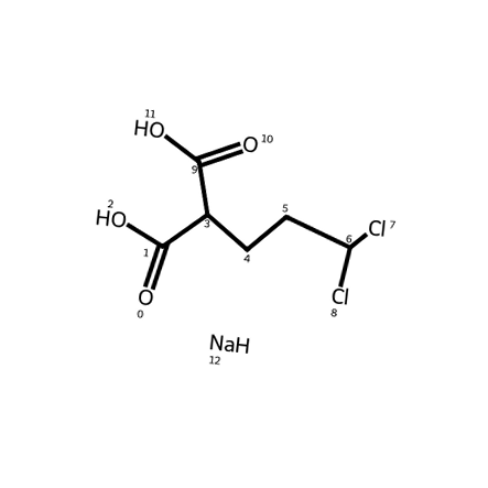 O=C(O)C(CCC(Cl)Cl)C(=O)O.[NaH]